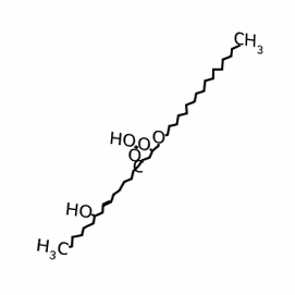 CCCCCCCCCCCCCCCCCCOCC(CCCCCCCCC=CCC(O)CCCCCC)OC(=O)O